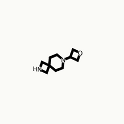 C1OCC1N1CCC2(CC1)CNC2